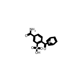 NC(=O)c1ccc(C(=O)n2c3ccc2cc3)c(S(=O)(=O)O)c1